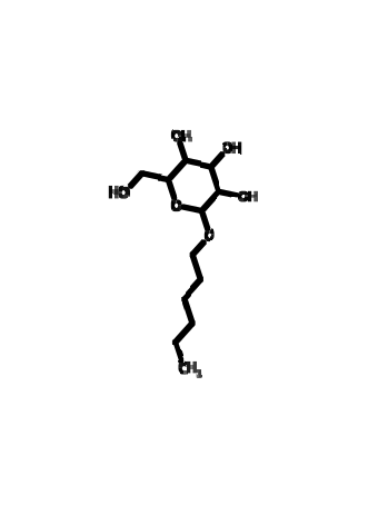 CCCCCCOC1OC(CO)C(O)C(O)C1O